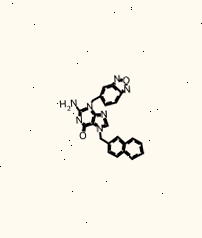 Nc1nc(=O)c2c(ncn2Cc2ccc3ccccc3c2)n1Cc1ccc2nonc2c1